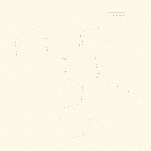 C1=C2[CH]([Zr+2][CH]3C(=Cc4ccccc43)P2c2ccccc2)c2ccccc21.[Cl-].[Cl-]